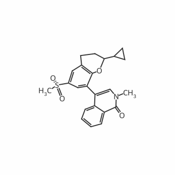 Cn1cc(-c2cc(S(C)(=O)=O)cc3c2OC(C2CC2)CC3)c2ccccc2c1=O